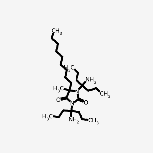 CCCCCCCCCC1(C)C(=O)N(C(N)(CCC)CCC)C(=O)N1C(N)(CCC)CCC